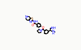 CNCC(C=N)c1cccc(C(=O)N2CCC[C@@H]2c2cccc(C(=O)Nc3nc4c(s3)CN(C)CC4)c2)c1